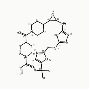 C=CC(=O)N1CCC(C(=O)N2CCC(C3OC3Nc3ncc(SCc4ncc(C(C)(C)C)o4)s3)CC2)CC1